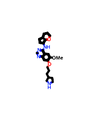 COc1cc2c(Nc3ccc4cccoc3-4)ncnc2cc1OCCCC1CCNC1